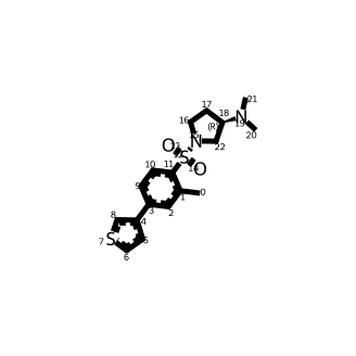 Cc1cc(-c2ccsc2)ccc1S(=O)(=O)N1CC[C@@H](N(C)C)C1